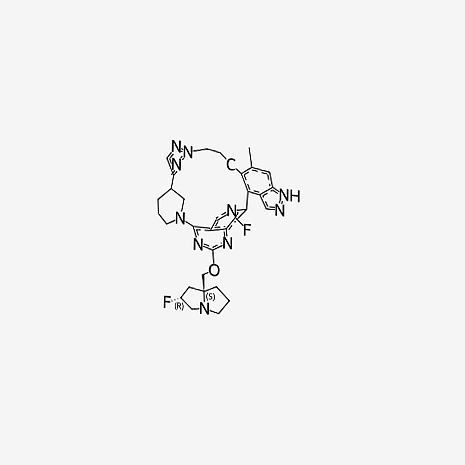 Cc1cc2[nH]ncc2c2c1CCCn1ncc(n1)C1CCCN(C1)c1nc(OC[C@@]34CCCN3C[C@H](F)C4)nc3c(F)c-2ncc13